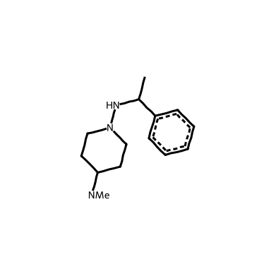 CNC1CCN(NC(C)c2ccccc2)CC1